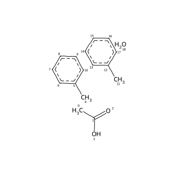 CC(=O)O.Cc1ccccc1.Cc1ccccc1.O